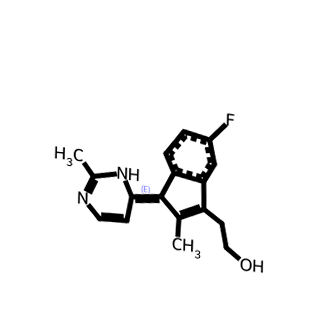 CC1=NC=C/C(=C2\C(C)=C(CCO)c3cc(F)ccc32)N1